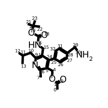 CC(=O)OCc1c(C)nc(CC(C)C)c(CNC(=O)OC(C)(C)C)c1-c1ccc(CN)cc1